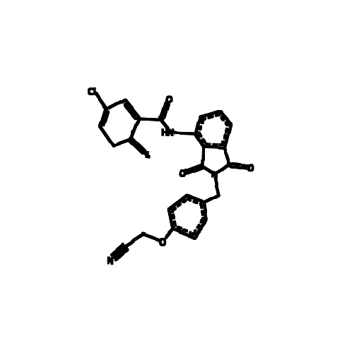 N#CCOc1ccc(CN2C(=O)c3cccc(NC(=O)C4=CC(Cl)=CCC4=S)c3C2=O)cc1